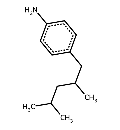 CC(C)CC(C)Cc1ccc(N)cc1